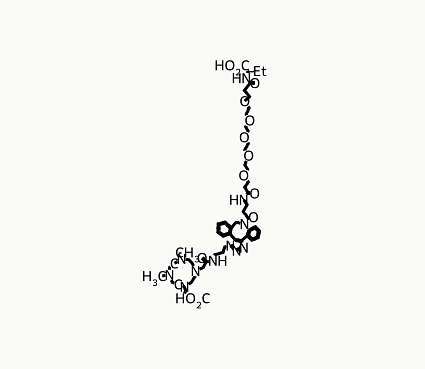 CC[C@@H](NC(=O)CCOCCOCCOCCOCCOCCC(=O)NCCC(=O)N1Cc2ccccc2-c2c(nnn2CCCNC(=O)CN2CCN(C)CCN(C)CCN(CC(=O)O)CC2)-c2ccccc21)C(=O)O